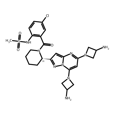 CS(=O)(=O)Nc1ccc(Cl)cc1C(=O)N1CCCC[C@H]1c1cc2nc(N3CC(N)C3)cc(N3CC(N)C3)n2n1